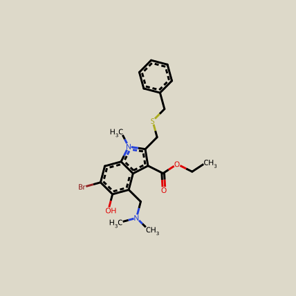 CCOC(=O)c1c(CSCc2ccccc2)n(C)c2cc(Br)c(O)c(CN(C)C)c12